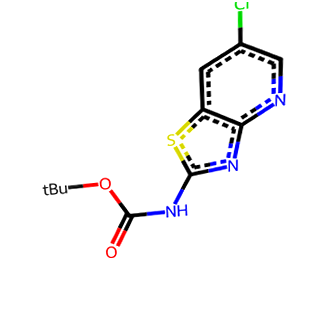 CC(C)(C)OC(=O)Nc1nc2ncc(Cl)cc2s1